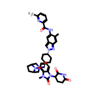 Cc1cc2nn([C@H]3CC[C@H](CN4CC5CCC(C4)N5c4cccc5c4n(C)c(=O)n5C4CCC(=O)NC4=O)CC3)cc2cc1NC(=O)c1cccc(C(F)(F)F)n1